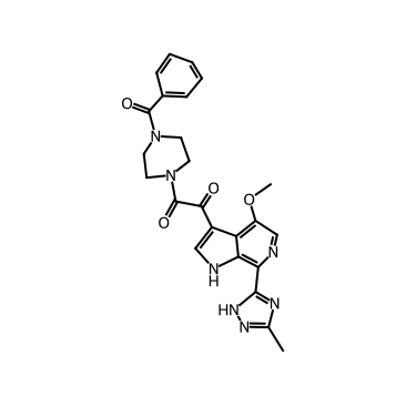 COc1cnc(-c2nc(C)n[nH]2)c2[nH]cc(C(=O)C(=O)N3CCN(C(=O)c4ccccc4)CC3)c12